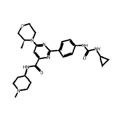 C[C@H]1COCCN1c1cc(C(=O)NC2CCN(C)CC2)nc(-c2ccc(NC(=O)NC3CC3)cc2)n1